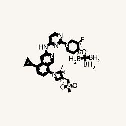 BC(B)(B)O[C@H]1CCN(c2nccc(Nc3cc4c(C5CC5)ccc(N5C[C@H](CS(C)(=O)=O)[C@H]5C)c4cn3)n2)C[C@H]1F